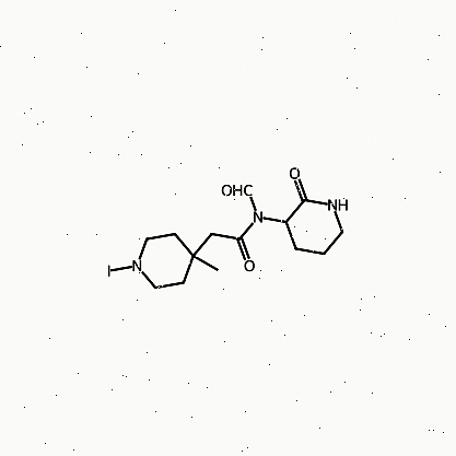 CC1(CC(=O)N(C=O)C2CCCNC2=O)CCN(I)CC1